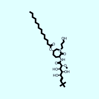 CCCCCCCCCCCCCC(=O)O[C@H]1CC[C@H](NC(=O)[C@H](OC)[C@H](O)[C@@H](O)[C@H](O)/C=C/C(C)(C)C)C(=O)N(CCCO)C1